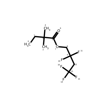 CCC(C)(C)C(=O)OCC(F)(F)CC(F)(F)F